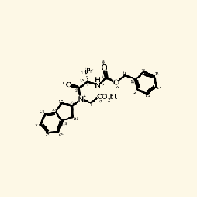 CCOC(=O)CN(C(=O)[C@@H](NC(=O)OCc1ccccc1)C(C)C)C1Cc2ccccc2C1